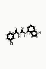 O=C(NC(=S)Nc1cccc2[nH]ccc12)c1cccc(Cl)c1